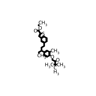 CCOC(=O)c1cc2cc(CCC(CC)c3ccc(OCC(=O)C(C)(C)C)c(C)c3)ccc2s1